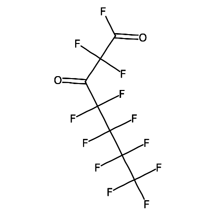 O=C(F)C(F)(F)C(=O)C(F)(F)C(F)(F)C(F)(F)C(F)(F)F